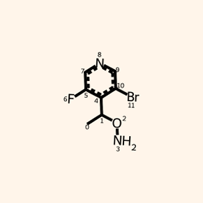 CC(ON)c1c(F)cncc1Br